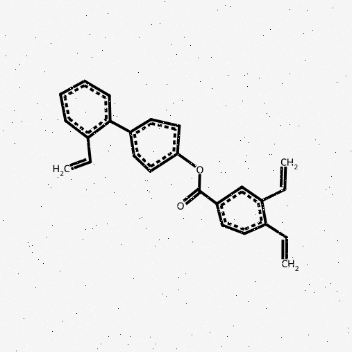 C=Cc1ccc(C(=O)Oc2ccc(-c3ccccc3C=C)cc2)cc1C=C